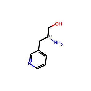 N[C@@H](CO)Cc1cccnc1